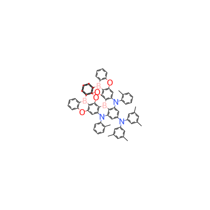 Cc1cc(C)cc(N(c2cc(C)cc(C)c2)c2cc3c4c(c2)N(c2ccccc2C)c2cc5c6c(c2B4c2c(cc4c7c2Oc2ccccc2B7c2ccccc2O4)N3c2ccccc2C)Oc2ccccc2B6c2ccccc2O5)c1